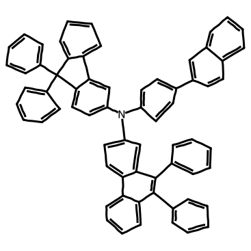 c1ccc(-c2c(-c3ccccc3)c3cc(N(c4ccc(-c5ccc6ccccc6c5)cc4)c4ccc5c(c4)-c4ccccc4C5(c4ccccc4)c4ccccc4)ccc3c3ccccc23)cc1